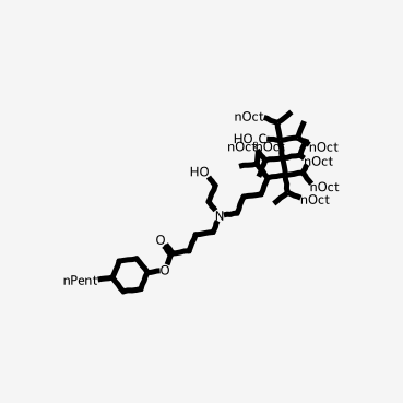 CCCCCCCCC(C)C(CCCN(CCO)CCCC(=O)OC1CCC(CCCCC)CC1)C(C(C)CCCCCCCC)(C(C)CCCCCCCC)C(C(C)CCCCCCCC)(C(C)CCCCCCCC)C(C(=O)O)(C(C)CCCCCCCC)C(C)CCCCCCCC